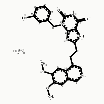 COc1cc2cncc(CCc3nc4c([nH]3)c(=O)[nH]c(=O)n4Cc3cccc(N)c3)c2cc1OC.Cl.Cl